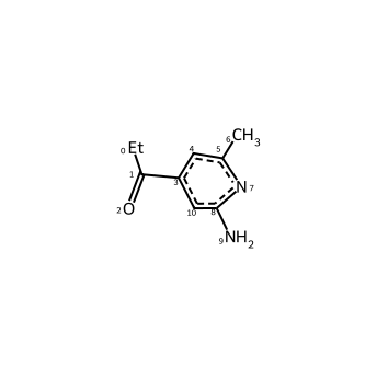 CCC(=O)c1cc(C)nc(N)c1